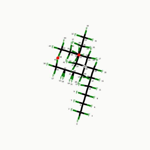 FC(F)(F)C(F)(F)C(F)(F)C(F)(F)C(F)(F)[C](F)(F)[Sn]([C](F)(F)C(F)(F)C(F)(F)C(F)(F)F)([C](F)(F)C(F)(F)C(F)(F)C(F)(F)F)[C](F)(F)C(F)(F)C(F)(F)C(F)(F)F